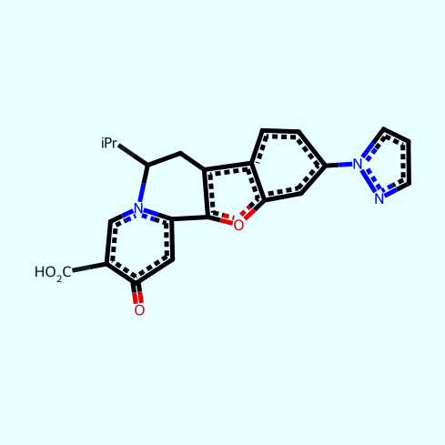 CC(C)C1Cc2c(oc3cc(-n4cccn4)ccc23)-c2cc(=O)c(C(=O)O)cn21